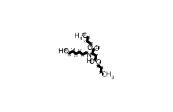 CCCCOC(=O)CC(NCCCCCCO)C(=O)OCCCC